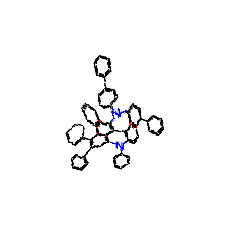 C1=CCCC(c2c(-c3ccccc3)cc(N(c3ccccc3)c3ccccc3-c3ccccc3N(c3ccc(-c4ccccc4)cc3)c3ccc(-c4ccccc4)cc3)cc2-c2ccccc2)=C1